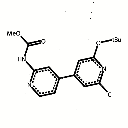 COC(=O)Nc1cc(-c2cc(Cl)nc(OC(C)(C)C)c2)ccn1